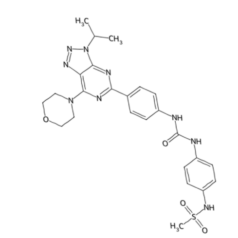 CC(C)n1nnc2c(N3CCOCC3)nc(-c3ccc(NC(=O)Nc4ccc(NS(C)(=O)=O)cc4)cc3)nc21